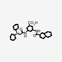 O=C(CN(c1ccccc1)c1ccccc1)Nc1cc(NC(=O)c2ccc3ccccc3c2)cc(C(=O)O)c1